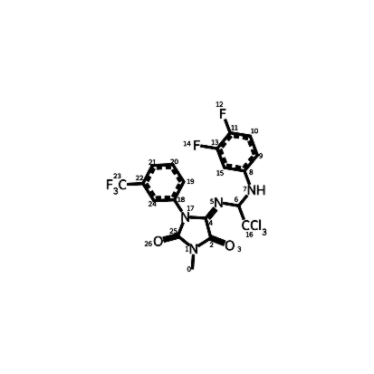 CN1C(=O)C(=NC(Nc2ccc(F)c(F)c2)C(Cl)(Cl)Cl)N(c2cccc(C(F)(F)F)c2)C1=O